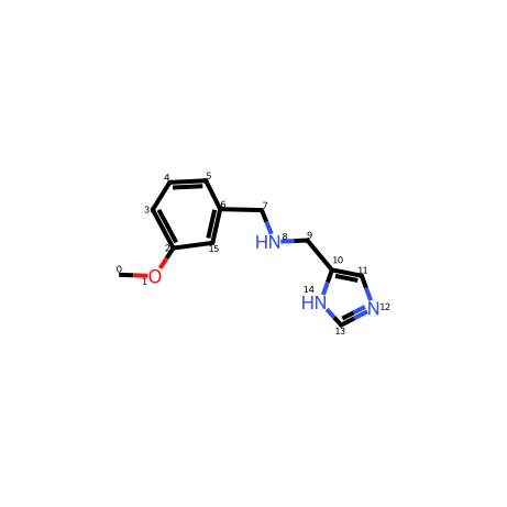 COc1cccc(CNCc2cnc[nH]2)c1